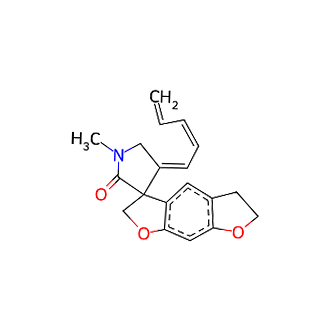 C=C/C=C\C=C1/CN(C)C(=O)C12COc1cc3c(cc12)CCO3